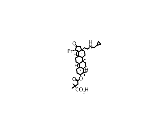 CC(C)C1=C2[C@H]3CC[C@@H]4[C@@]5(C)CC[C@H](OC(=O)CC(C)(C)C(=O)O)C(C)(C)[C@@H]5CC[C@@]4(C)[C@]3(C)CC[C@@]2(CCNCC2CC2)CC1=O